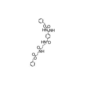 N=C(NC(=O)OCc1ccccc1)c1ccc(C(=O)NCCCC(=O)NCCC(=O)OCc2ccccc2)cc1